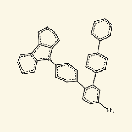 Nc1ccc(-c2ccc(-n3c4ccccc4c4ccccc43)cc2)c(-c2ccc(-c3ccccc3)cc2)c1